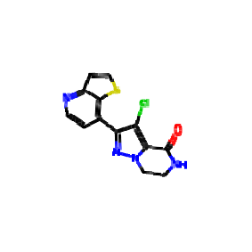 O=C1NCCn2nc(-c3ccnc4ccsc34)c(Cl)c21